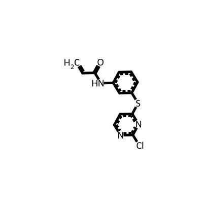 C=CC(=O)Nc1cccc(Sc2ccnc(Cl)n2)c1